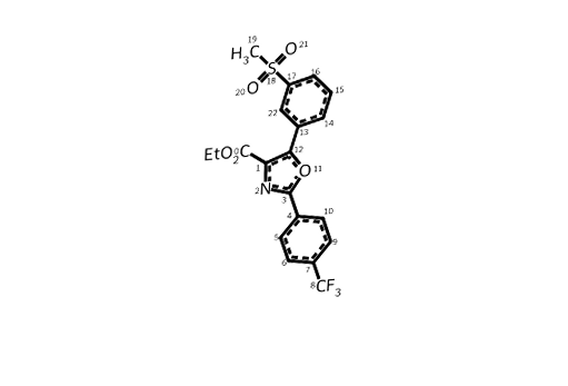 CCOC(=O)c1nc(-c2ccc(C(F)(F)F)cc2)oc1-c1cccc(S(C)(=O)=O)c1